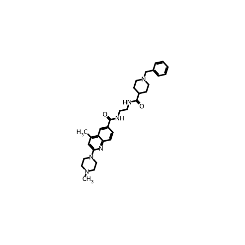 Cc1cc(N2CCN(C)CC2)nc2ccc(C(=O)NCCNC(=O)C3CCN(Cc4ccccc4)CC3)cc12